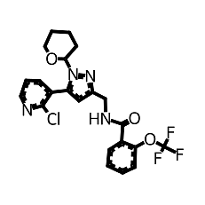 O=C(NCc1cc(-c2cccnc2Cl)n(C2CCCCO2)n1)c1ccccc1OC(F)(F)F